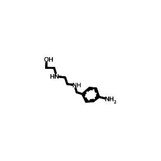 Nc1ccc(CNCCNCCO)cc1